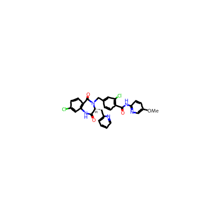 COc1ccc(NC(=O)c2ccc(CN3C(=O)c4ccc(Cl)cc4NC(=O)[C@H]3Cc3ccccn3)cc2Cl)nc1